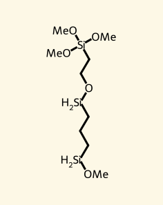 CO[SiH2]CCC[SiH2]OCC[Si](OC)(OC)OC